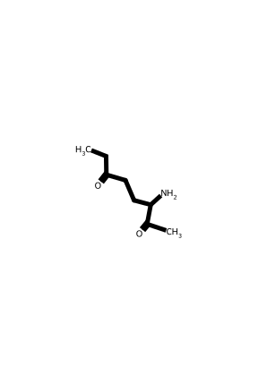 CCC(=O)CCC(N)C(C)=O